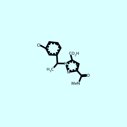 CNC(=O)c1cc(C(=O)O)n(C(C)c2cccc(Cl)c2)n1